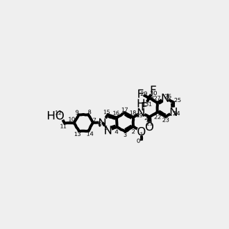 COc1cc2nn(C3CCC(CO)CC3)cc2cc1NC(=O)c1cncnc1C(F)(F)F